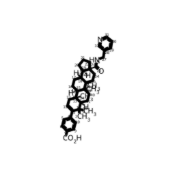 CC1(C)C(c2ccc(C(=O)O)cc2)=CC[C@]2(C)[C@H]3CC[C@@H]4[C@H]5CCC[C@]5(C(=O)NCc5cccnc5)CC[C@@]4(C)[C@]3(C)CC[C@@H]12